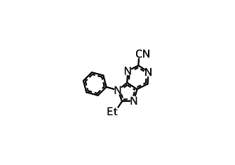 CCc1nc2cnc(C#N)nc2n1-c1ccccc1